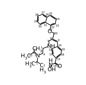 CC(C)N(CCNCC(=Cc1ccc(C(=O)NO)cc1)COc1cccc2ccccc12)C(C)C